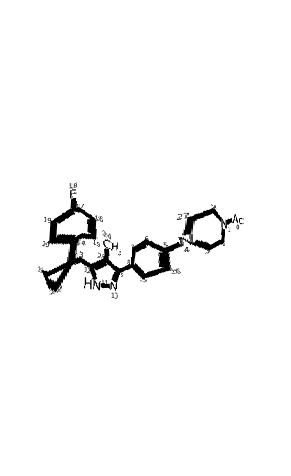 CC(=O)N1CCN(c2ccc(-c3n[nH]c(C4(c5ccc(F)cc5)CC4)c3C)cc2)CC1